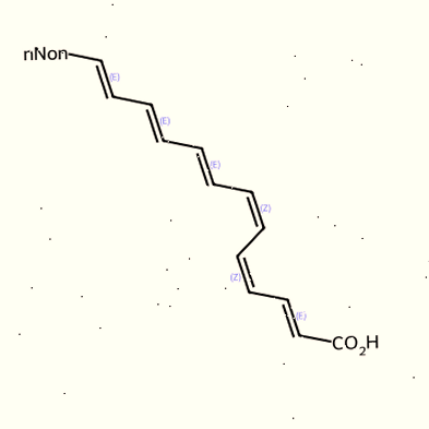 CCCCCCCCC/C=C/C=C/C=C/C=C\C=C/C=C/C(=O)O